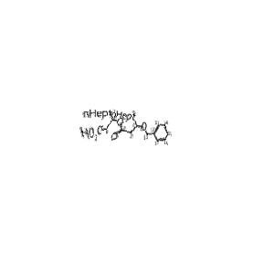 CCCCCCCC(CC(=O)OC(CCCCCCC)CC(=O)O)OCc1ccccc1